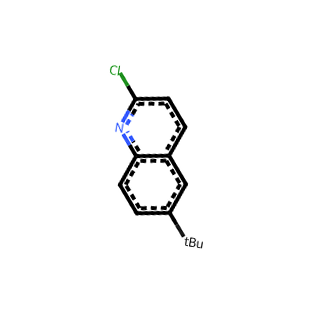 CC(C)(C)c1ccc2nc(Cl)ccc2c1